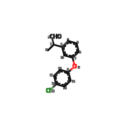 CC(C=O)c1cccc(Oc2ccc(Cl)cc2)c1